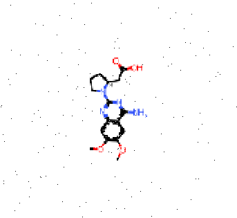 COc1cc2nc(N3CCC[C@H]3CC(=O)O)nc(N)c2cc1OC